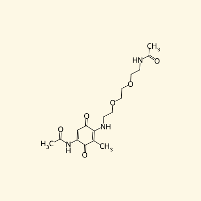 CC(=O)NCCOCCOCCNC1=C(C)C(=O)C(NC(C)=O)=CC1=O